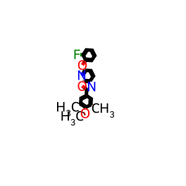 COc1c(C)cc(-c2nc3ccc(Oc4ccccc4F)nc3o2)cc1C